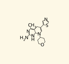 CC1=C2CC(c3cncs3)=CN(C3CCOCC3)C2NC(N)=N1